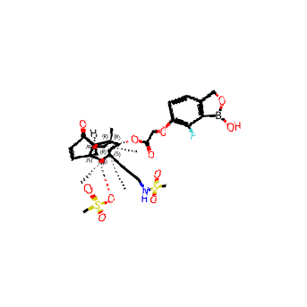 C[C@@H]1CC[C@@]23CCC(=O)[C@H]2[C@]1(C)[C@H](OC(=O)COc1ccc2c(c1F)B(O)OC2)C[C@@](C)(CNS(C)(=O)=O)[C@@H](OS(C)(=O)=O)[C@@H]3C